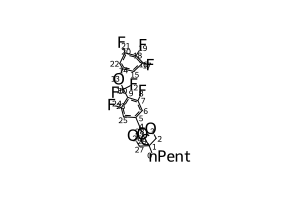 CCCCCC12COC(c3cc(F)c(C(F)(F)Oc4cc(F)c(F)c(F)c4)c(F)c3)(OC1)OC2